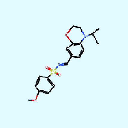 COc1ccc(S(=O)(=O)N=Cc2ccc3c(c2)OCCN3C(C)C)cc1